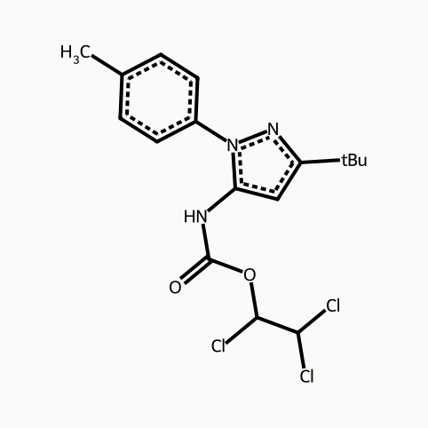 Cc1ccc(-n2nc(C(C)(C)C)cc2NC(=O)OC(Cl)C(Cl)Cl)cc1